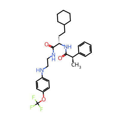 C[C@@H](C(=O)N[C@@H](CCC1CCCCC1)C(=O)NCCNc1ccc(OC(F)(F)F)cc1)c1ccccc1